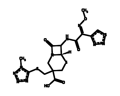 CON=C(C(=O)NC1C(=O)N2CC(CSc3nnnn3C)(C(=O)O)CS[C@H]12)c1csnn1